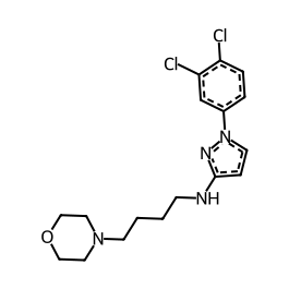 Clc1ccc(-n2ccc(NCCCCN3CCOCC3)n2)cc1Cl